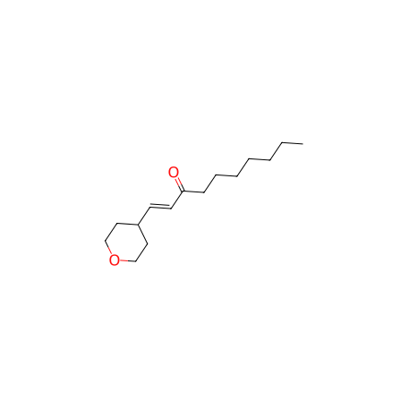 CCCCCCCC(=O)C=CC1CCOCC1